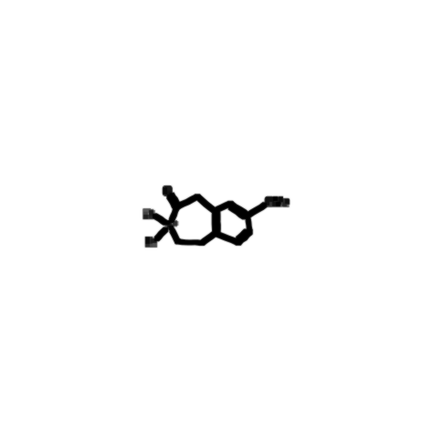 CC[N+]1(CC)CCc2ccc(OC)cc2CC1=O